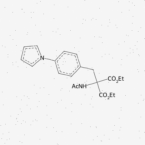 CCOC(=O)C(Cc1ccc(-n2cccc2)cc1)(NC(C)=O)C(=O)OCC